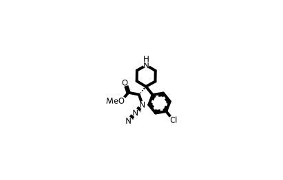 COC(=O)[C@@H](N=[N+]=[N-])C1(c2ccc(Cl)cc2)CCNCC1